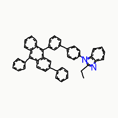 CCc1nc2ccccc2n1-c1ccc(-c2cccc(-c3c4ccccc4c(-c4ccccc4)c4ccc(-c5ccccc5)cc34)c2)cc1